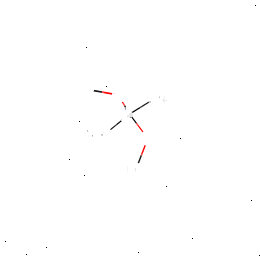 CCCCCCCCC[Si](CCCCCCCCC)(OCC)OCC